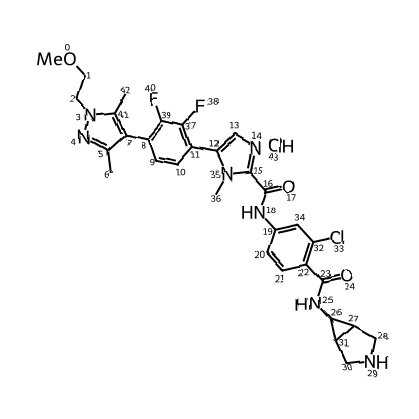 COCCn1nc(C)c(-c2ccc(-c3cnc(C(=O)Nc4ccc(C(=O)NC5C6CNCC65)c(Cl)c4)n3C)c(F)c2F)c1C.Cl